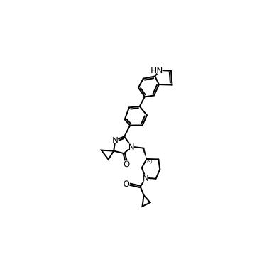 O=C(C1CC1)N1CCC[C@H](CN2C(=O)C3(CC3)N=C2c2ccc(-c3ccc4[nH]ccc4c3)cc2)C1